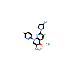 Cl.NC1CCN(c2nc3c(cc2F)c(=O)c(C(=O)O)cn3-c2ccc(F)cn2)C1